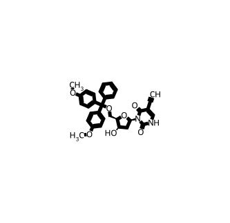 C#Cc1c[nH]c(=O)n([C@H]2C[C@H](O)[C@@H](COC(c3ccccc3)(c3ccc(OC)cc3)c3ccc(OC)cc3)O2)c1=O